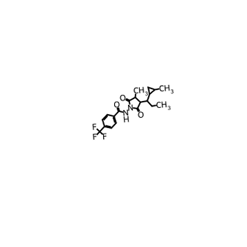 CCC(C1CC1C)C1C(=O)N(NC(=O)c2ccc(C(F)(F)F)cc2)C(=O)C1C